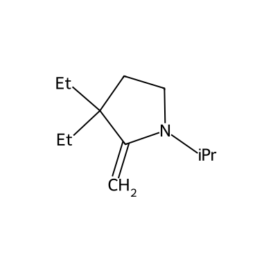 C=C1N(C(C)C)CCC1(CC)CC